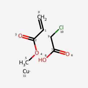 C=CC(=O)OC.O=C(O)CCl.[Cu]